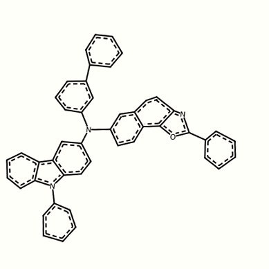 c1ccc(-c2cccc(N(c3ccc4c(ccc5nc(-c6ccccc6)oc54)c3)c3ccc4c(c3)c3ccccc3n4-c3ccccc3)c2)cc1